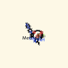 C=Cc1cnc2nc1NC1=CC(F)=C(CC1N(CC)S(C)(=O)=O)OCCCCOc1cc(c(OC)cc1N1CCC(N3CCN(C)CC3)CC1)N2